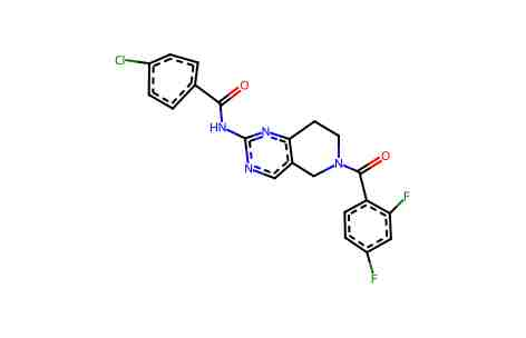 O=C(Nc1ncc2c(n1)CCN(C(=O)c1ccc(F)cc1F)C2)c1ccc(Cl)cc1